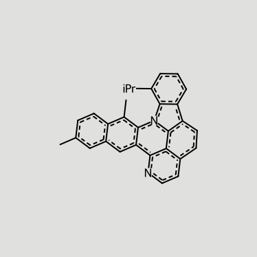 Cc1ccc2c(C)c3c(cc2c1)c1nccc2ccc4c5cccc(C(C)C)c5n3c4c21